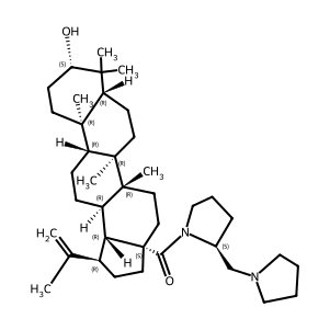 C=C(C)[C@@H]1CC[C@]2(C(=O)N3CCC[C@H]3CN3CCCC3)CC[C@]3(C)[C@H](CC[C@@H]4[C@@]5(C)CC[C@H](O)C(C)(C)[C@@H]5CC[C@]43C)[C@@H]12